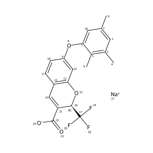 Cc1cc(C)c(C)c(Oc2ccc3c(c2)O[C@@H](C(F)(F)F)C(C(=O)[O-])=C3)c1.[Na+]